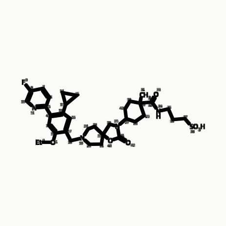 CCOc1cc(-c2ccc(F)cn2)c(C2CC2)cc1CN1CCC2(CC1)CN(C1CCC(C)(C(=O)NCCCS(=O)(=O)O)CC1)C(=O)O2